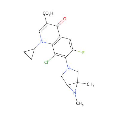 CN1C2CN(c3c(F)cc4c(=O)c(C(=O)O)cn(C5CC5)c4c3Cl)CC21C